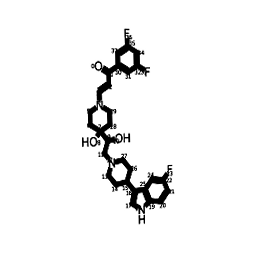 O=C(C=CN1CCC(O)(C(O)CN2CCC(c3c[nH]c4ccc(F)cc34)CC2)CC1)c1cc(F)cc(F)c1